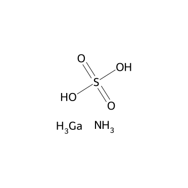 N.O=S(=O)(O)O.[GaH3]